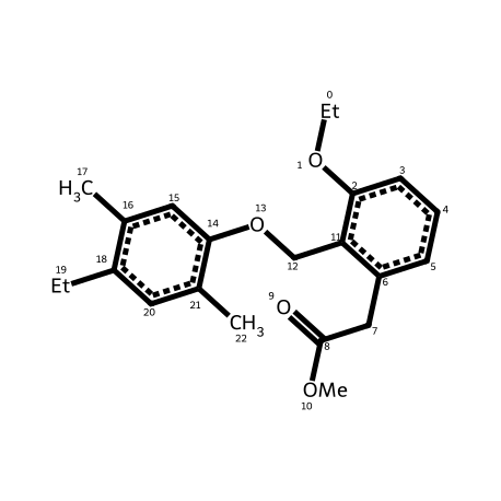 CCOc1cccc(CC(=O)OC)c1COc1cc(C)c(CC)cc1C